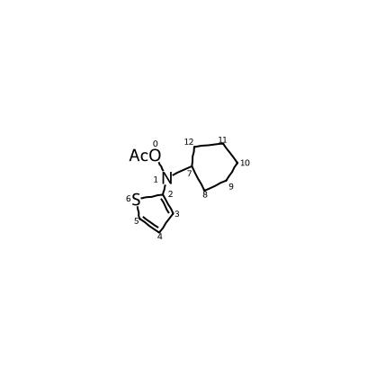 CC(=O)ON(c1cccs1)C1CCCCC1